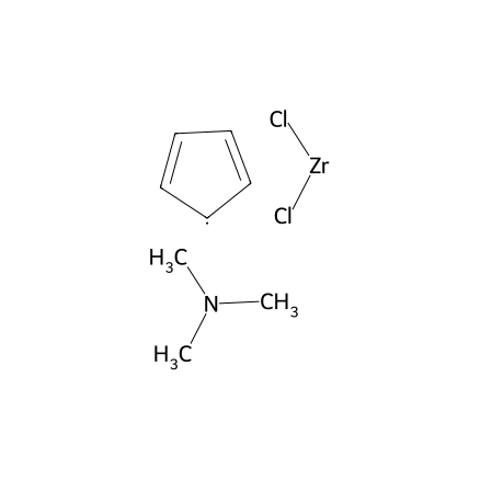 CN(C)C.[CH]1C=CC=C1.[Cl][Zr][Cl]